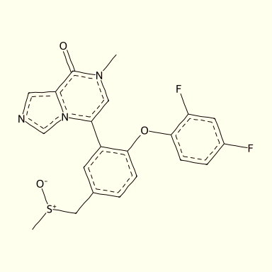 Cn1cc(-c2cc(C[S+](C)[O-])ccc2Oc2ccc(F)cc2F)n2cncc2c1=O